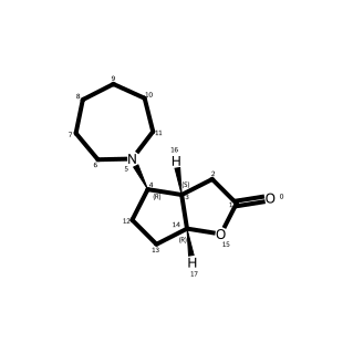 O=C1C[C@H]2[C@H](N3CCCCCC3)CC[C@H]2O1